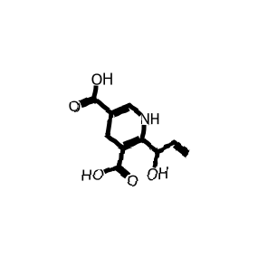 C=CC(O)C1=C(C(=O)O)CC(C(=O)O)=CN1